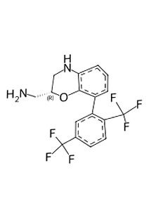 NC[C@@H]1CNc2cccc(-c3cc(C(F)(F)F)ccc3C(F)(F)F)c2O1